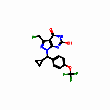 O=c1[nH]c(O)nc2c1c(CF)nn2C(c1ccc(OC(F)(F)F)cc1)C1CC1